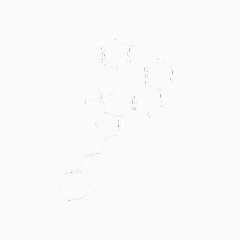 CC(NC(=O)c1sc(CCN2CCCCC2)nc1C(F)(F)F)c1cccc(-c2cccnc2)c1